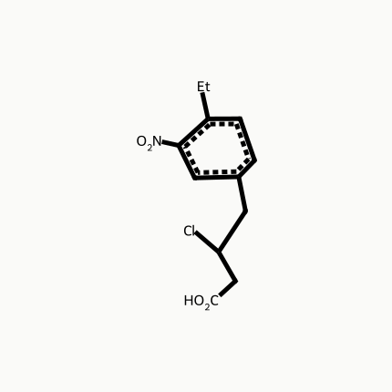 CCc1ccc(CC(Cl)CC(=O)O)cc1[N+](=O)[O-]